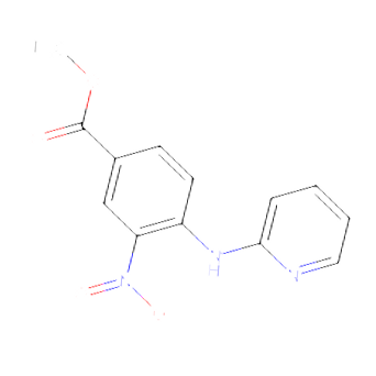 COC(=O)c1ccc(Nc2ccccn2)c([N+](=O)[O-])c1